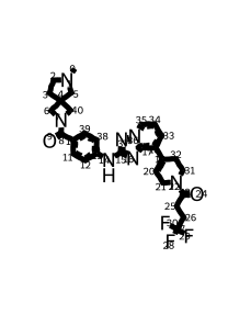 CN1CCC2(C1)CN(C(=O)c1ccc(Nc3nc4c(C5=CCN(C(=O)CCC(F)(F)F)CC5)cccn4n3)cc1)C2